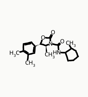 Cc1ccc([C@@H]2OC(=O)N(C(=O)NC3CCCCC3C)[C@H]2C)cc1C